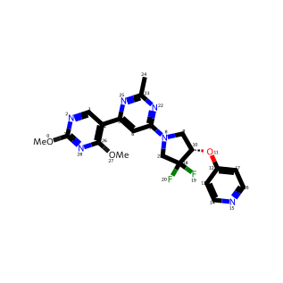 COc1ncc(-c2cc(N3C[C@H](Oc4ccncc4)C(F)(F)C3)nc(C)n2)c(OC)n1